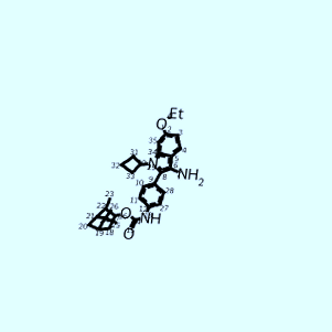 CCOc1ccc2c(N)c(-c3ccc(NC(=O)OC4CC5CC(C4C)C5(C)C)cc3)n(C3CCC3)c2c1